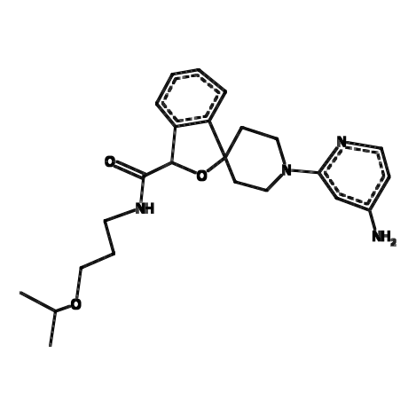 CC(C)OCCCNC(=O)C1OC2(CCN(c3cc(N)ccn3)CC2)c2ccccc21